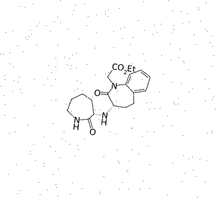 CCOC(=O)CN1C(=O)[C@@H](N[C@H]2CCCCNC2=O)CCc2ccccc21